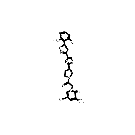 O=C(Cn1cc(Cl)cc(C(F)(F)F)c1=O)N1CCC(c2nc(C3=NOC(c4c(Cl)cccc4C(F)(F)F)C3)cs2)CC1